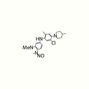 CNc1cc(Nc2cc(Cl)c(N3CCC(C)CC3)cc2C)ccc1N(C)N=O